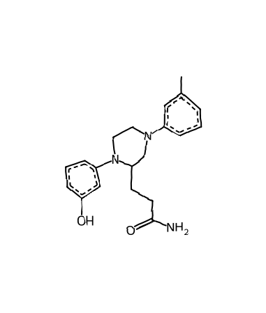 Cc1cccc(N2CCN(c3cccc(O)c3)C(CCC(N)=O)C2)c1